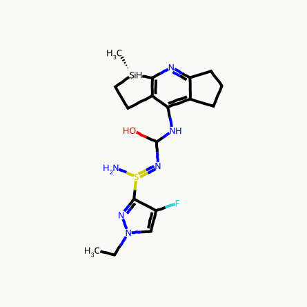 CCn1cc(F)c(/S(N)=N/C(O)Nc2c3c(nc4c2CC[Si@@H]4C)CCC3)n1